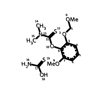 COCOc1cccc(OC)c1OC(=S)N(C)C.NC(O)=S